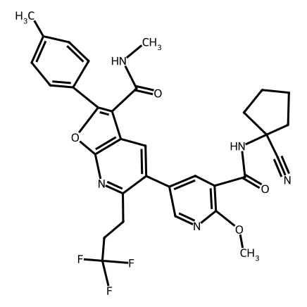 CNC(=O)c1c(-c2ccc(C)cc2)oc2nc(CCC(F)(F)F)c(-c3cnc(OC)c(C(=O)NC4(C#N)CCCC4)c3)cc12